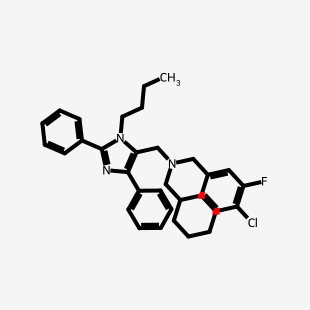 CCCCn1c(-c2ccccc2)nc(-c2ccccc2)c1CN(Cc1ccc(Cl)c(F)c1)CC1CCCCC1